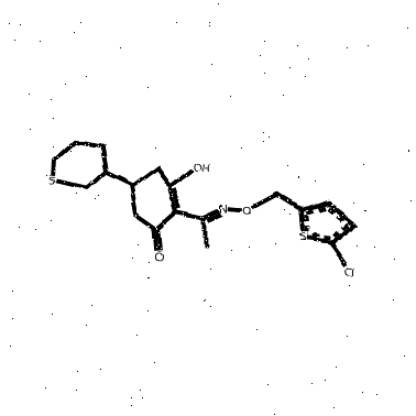 CC(=NOCc1ccc(Cl)s1)C1=C(O)CC(C2CCCSC2)CC1=O